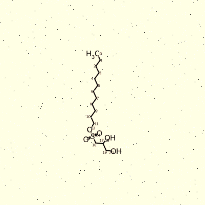 CCCCCCCCCCCCOS(=O)(=O)CC(O)CO